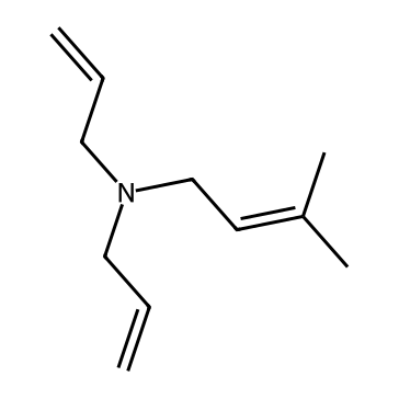 C=CCN(CC=C)CC=C(C)C